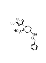 CCN(CC)OC(=O)[C@@H]1CC[C@@H](NOCc2ccccc2)CN1C(=O)O